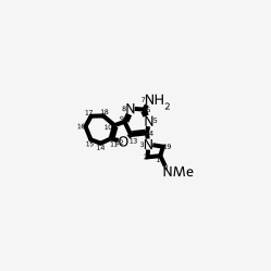 CNC1CN(c2nc(N)nc3c4c(oc23)CCCCC4)C1